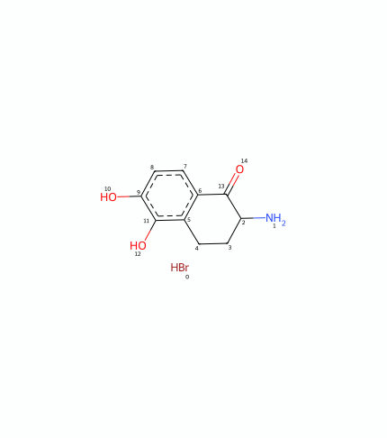 Br.NC1CCc2c(ccc(O)c2O)C1=O